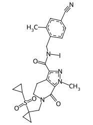 Cc1cc(C#N)ccc1CN(I)C(=O)c1nn(C)c2c1CCN(CC1(S(=O)(=O)C3CC3)CC1)C2=O